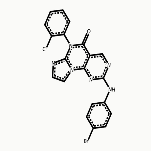 O=c1c2cnc(Nc3ccc(Br)cc3)nc2n2ccnc2n1-c1ccccc1Cl